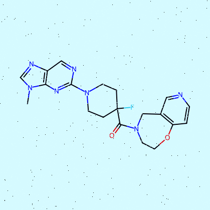 Cn1cnc2cnc(N3CCC(F)(C(=O)N4CCOc5ccncc5C4)CC3)nc21